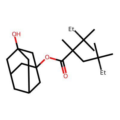 CCC(C)(C)CC(C)(C(=O)OC12CC3CC(CC(O)(C3)C1)C2)C(C)(C)CC